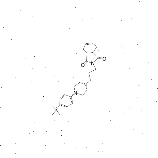 CC(C)(C)c1ccc(N2CCN(CCCN3C(=O)C4CC=CCC4C3=O)CC2)cc1